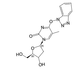 Cc1cn([C@H]2CC(O)[C@@H](CO)O2)c(=O)nc1On1nnc2ccccc21